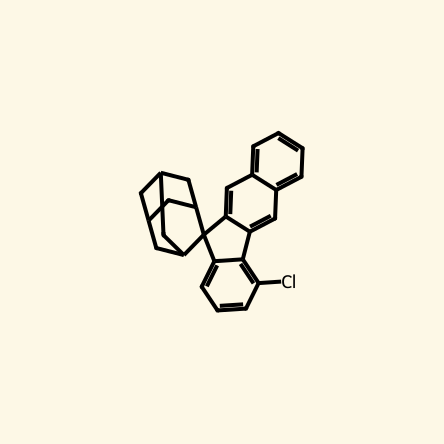 Clc1cccc2c1-c1cc3ccccc3cc1C21C2CC3CC(C2)CC1C3